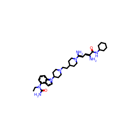 CCN(C(N)=O)c1cccc2c1ccn2C1CCN(CCC2CCN(/C(N)=C/C=C(\N)C(=O)NC3CCCCC3)CC2)CC1